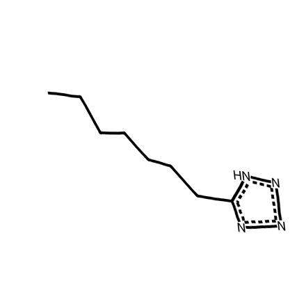 CCCCCCCc1nnn[nH]1